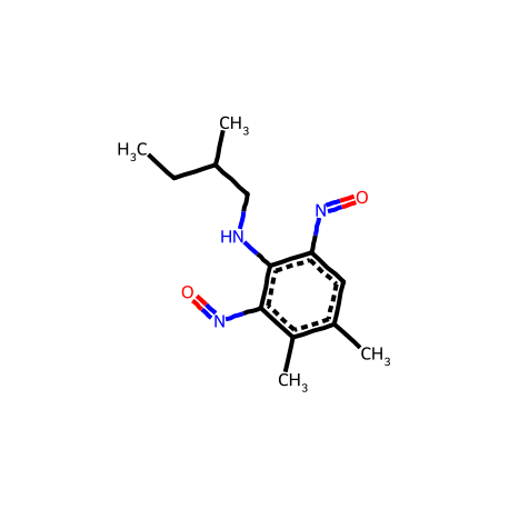 CCC(C)CNc1c(N=O)cc(C)c(C)c1N=O